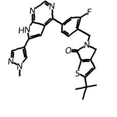 Cn1cc(-c2cc3c(-c4ccc(CN5Cc6cc(C(C)(C)C)sc6C5=O)c(F)c4)ncnc3[nH]2)cn1